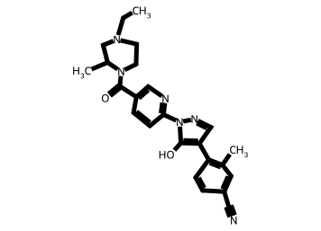 CCN1CCN(C(=O)c2ccc(-n3ncc(-c4ccc(C#N)cc4C)c3O)nc2)C(C)C1